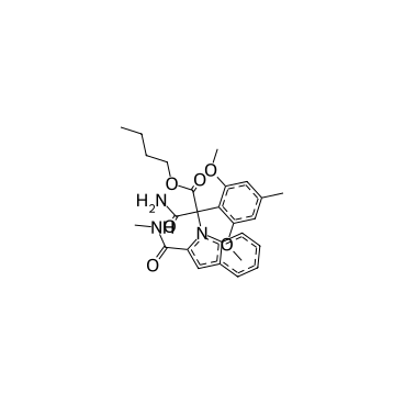 CCCCOC(=O)C(C(N)=O)(c1c(OC)cc(C)cc1OC)n1c(C(=O)NC)cc2ccccc21